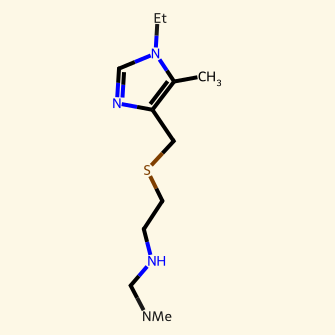 CCn1cnc(CSCCNCNC)c1C